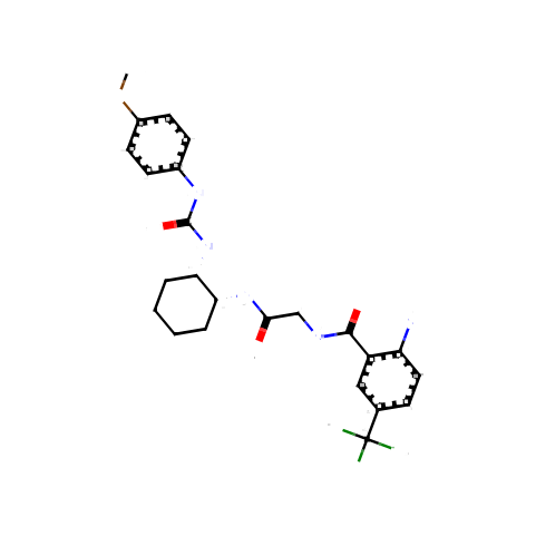 CSc1ccc(NC(=O)N[C@H]2CCCC[C@H]2NC(=O)CNC(=O)c2cc(C(F)(F)F)ccc2N)cc1